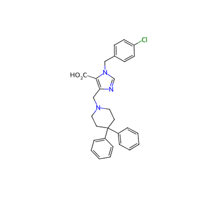 O=C(O)c1c(CN2CCC(c3ccccc3)(c3ccccc3)CC2)ncn1Cc1ccc(Cl)cc1